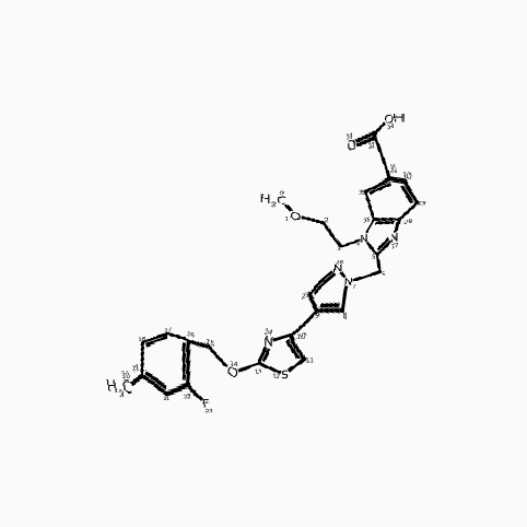 COCCn1c(Cn2cc(-c3csc(OCc4ccc(C)cc4F)n3)cn2)nc2ccc(C(=O)O)cc21